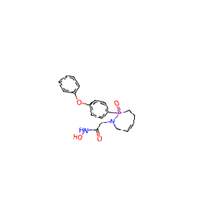 O=C(CN1CC=CCCP1(=O)c1ccc(Oc2ccccc2)cc1)NO